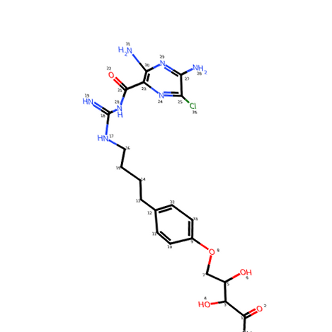 CC(=O)C(O)C(O)COc1ccc(CCCCNC(=N)NC(=O)c2nc(Cl)c(N)nc2N)cc1